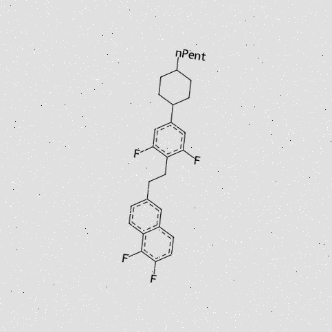 CCCCCC1CCC(c2cc(F)c(CCc3ccc4c(F)c(F)ccc4c3)c(F)c2)CC1